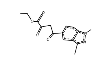 CCOC(=O)C(=O)CC(=O)c1ccc2c(c1)c(C)nn2C